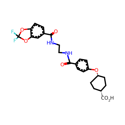 O=C(NCCNC(=O)c1ccc2c(c1)OC(F)(F)O2)c1ccc(O[C@H]2CC[C@@H](C(=O)O)CC2)cc1